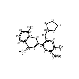 C=C1C=C(c2cc(OC)c(Br)cc2CN2CCCC2)Cc2c(Cl)cccc21